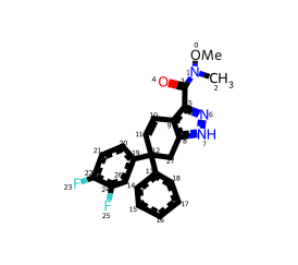 CON(C)C(=O)c1n[nH]c2c1C=CC(c1ccccc1)(c1ccc(F)c(F)c1)C2